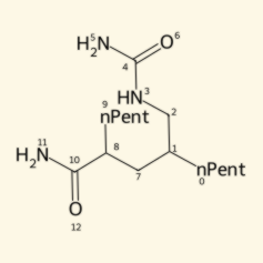 CCCCCC(CNC(N)=O)CC(CCCCC)C(N)=O